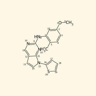 COc1ccc(C)c(Nc2ncc3ccn(-c4cccs4)c3n2)c1